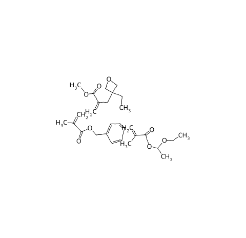 C=C(C)C(=O)OC(C)OCC.C=C(C)C(=O)OCc1ccccc1.C=C(CC1(CC)COC1)C(=O)OC